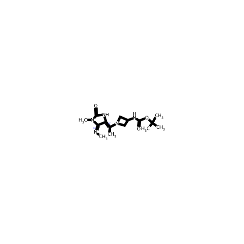 C/N=C1\C(=C(/C)N2CC(NC(=O)OC(C)(C)C)C2)NC(=O)N1C